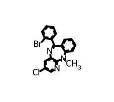 CN1c2ccccc2C(c2ccccc2Br)=Nc2cc(Cl)cnc21